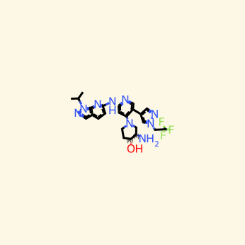 CC(C)n1ncc2ccc(Nc3cc(N4CC[C@@H](O)[C@H](N)C4)c(-c4cnn(CC(F)(F)F)c4)cn3)nc21